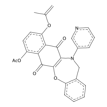 C=C(C)Oc1ccc(OC(C)=O)c2c1C(=O)C1=C(Oc3ccccc3CN1c1cccnc1)C2=O